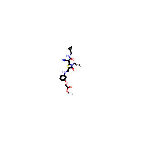 CCn1c(=C(C#N)C(=O)NCC2CC2)sc(=CNc2cccc(OCC(=O)OC)c2)c1=O